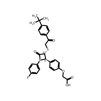 CC(C)(C)c1ccc(C(=O)CS[C@H]2C(=O)N(c3ccc(F)cc3)[C@@H]2c2ccc(OCC(=O)O)cc2)cc1